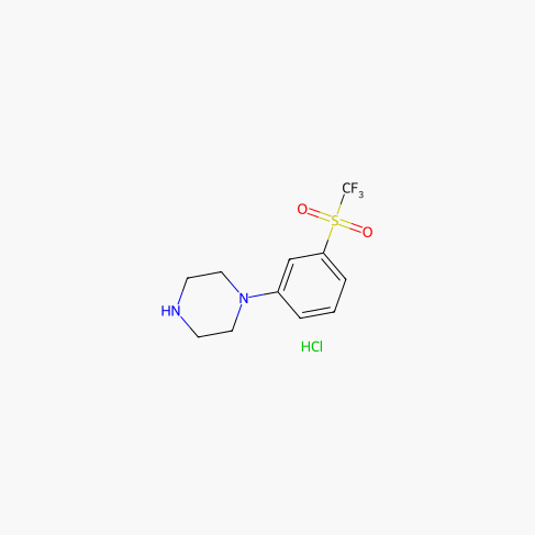 Cl.O=S(=O)(c1cccc(N2CCNCC2)c1)C(F)(F)F